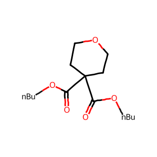 CCCCOC(=O)C1(C(=O)OCCCC)CCOCC1